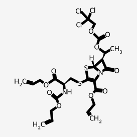 C=CCOC(=O)N[C@H](CSC1=C(C(=O)OCC=C)N2C(=O)[C@H](C(C)OC(=O)OCC(Cl)(Cl)Cl)[C@H]2S1)C(=O)OCC=C